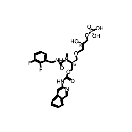 CN(C(=O)NCc1cccc(F)c1F)[C@@H](COC[C@@H](O)COP(=O)(O)O)COC(=O)Nc1cc2ccccc2cn1